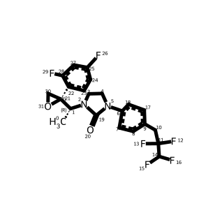 C[C@@H](N1CCN(c2ccc(CC(F)(F)C(F)F)cc2)C1=O)[C@]1(c2ccc(F)cc2F)CO1